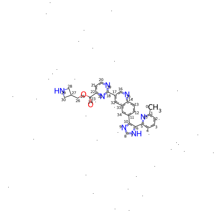 Cc1cccc(-c2[nH]cnc2-c2ccc3ncc(-c4nccc(C(=O)OCC5CNC5)n4)cc3c2)n1